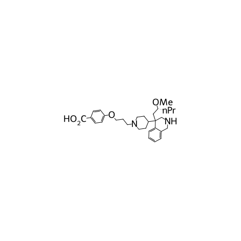 CCC[C@H](CC1(C2CCN(CCCOc3ccc(C(=O)O)cc3)CC2)CNCc2ccccc21)OC